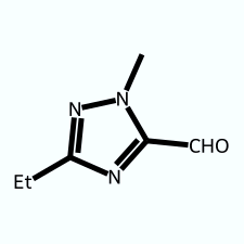 CCc1nc(C=O)n(C)n1